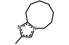 Cc1cn2c(n1)CCCCCCC2